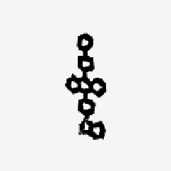 c1ccc(-c2ccc(-c3c4ccccc4c(-c4ccc(-n5cnc6ccccc65)cc4)c4ccccc34)cc2)cc1